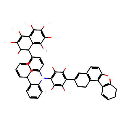 OC1=C(O)C(O)C(c2ccc(N(c3ccccc3C3C=CC=CC3)c3c(O)c(O)c(C4=Cc5ccc6oc7c(c6c5CC4)C=CCC7)c(O)c3O)cc2)c2c(O)c(O)c(O)c(O)c21